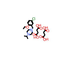 CCOc1ccc(Cl)cc1CN1CCN(C(C)C)CC1.O=C(O)CCC(=O)O.O=C(O)CCC(=O)O